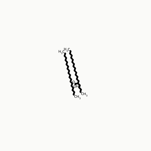 CCCCCCCCCCCCCCCCC(CCCCC)C(=O)O.CCCCCCCCCCCCCCCCCCCCCC